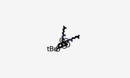 CC(C)=CCC/C(C)=C/COc1c(OC/C=C(\C)CCC=C(C)C)c2ccc(OC(C)(C)C)cc2oc1=O